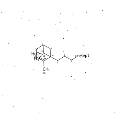 CCCCCCCCCCC12CC(CC=C1C)C2(C)C